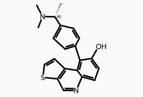 C[C@H](c1ccc(-c2c(O)ccc3ncc4sccc4c23)cc1)N(C)C